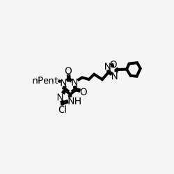 CCCCCn1c(=O)n(CCCCc2noc(C3CCCCC3)n2)c(=O)c2[nH]c(Cl)nc21